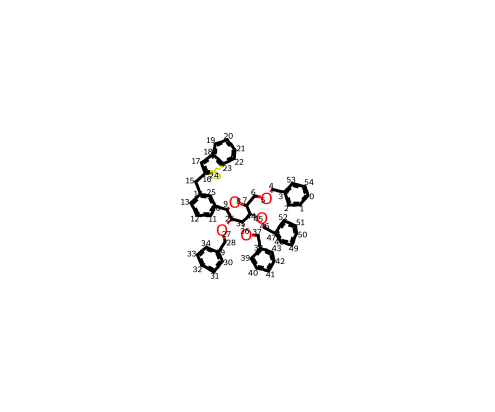 c1ccc(COCC2OC(c3cccc(Cc4cc5ccccc5s4)c3)[C@H](OCc3ccccc3)[C@@H](OCc3ccccc3)[C@@H]2OCc2ccccc2)cc1